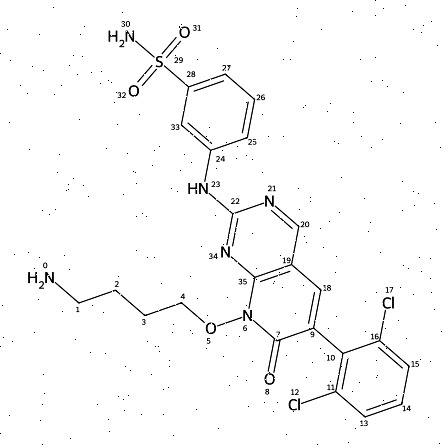 NCCCCOn1c(=O)c(-c2c(Cl)cccc2Cl)cc2cnc(Nc3cccc(S(N)(=O)=O)c3)nc21